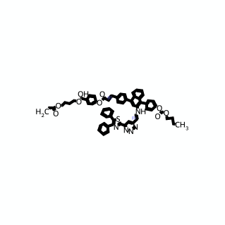 C=CC(=O)OCCCCOC(O)c1ccc(OC(=O)/C=C/c2ccc(-c3cc(N/C=C/c4cc(-c5nc(-c6ccccc6)c(-c6ccccc6)s5)nnn4)c(-c4ccc(OC(=O)OCCCC)cc4)c4ccccc34)cc2)cc1